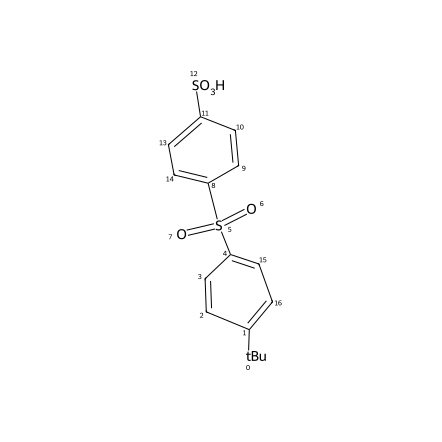 CC(C)(C)c1ccc(S(=O)(=O)c2ccc(S(=O)(=O)O)cc2)cc1